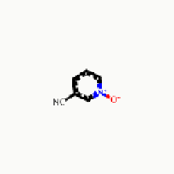 N#Cc1c[c]c[n+]([O-])c1